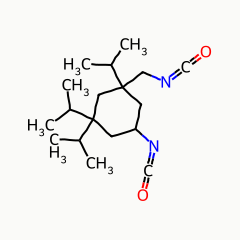 CC(C)C1(CN=C=O)CC(N=C=O)CC(C(C)C)(C(C)C)C1